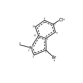 Cn1cc(Br)c2cc(Cl)ccc21